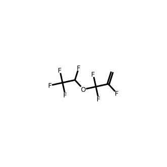 C=C(F)C(F)(F)OC(F)C(F)(F)F